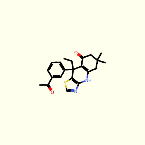 CCC1(c2cccc(C(C)=O)c2)C2=C(CC(C)(C)CC2=O)Nc2ncsc21